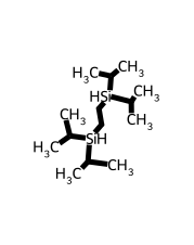 CC(C)[SiH](CC[SiH](C(C)C)C(C)C)C(C)C